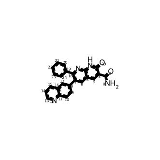 NC(=O)c1cc2cc(-c3ccc4ncccc4c3)c(-c3ccccc3)nc2[nH]c1=O